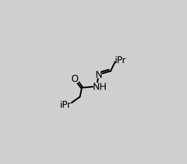 CC(C)/C=N/NC(=O)CC(C)C